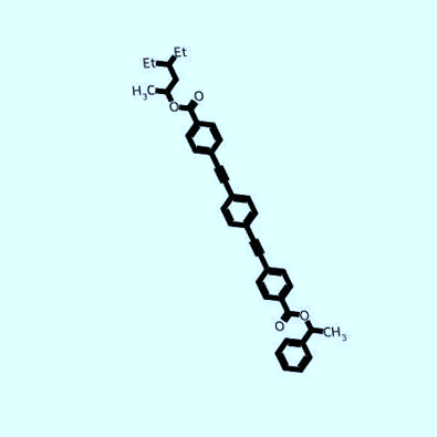 CCC(CC)CC(C)OC(=O)c1ccc(C#Cc2ccc(C#Cc3ccc(C(=O)OC(C)c4ccccc4)cc3)cc2)cc1